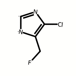 FCC1=C(Cl)N=[C][N]1